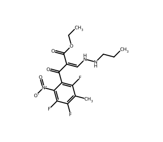 CCCNNC=C(C(=O)OCC)C(=O)c1c(F)c(C)c(F)c(F)c1[N+](=O)[O-]